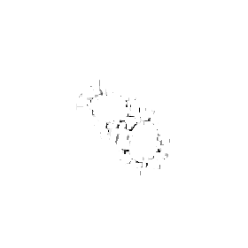 O=C1CCNC(=O)C(=O)NCCC(=O)Nc2cc3c(cc2N1)NC(=O)CCNC(=O)C(=O)NCCC(=O)N3